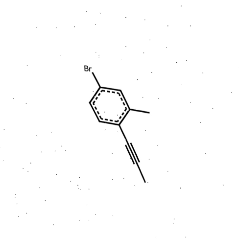 CC#Cc1ccc(Br)cc1C